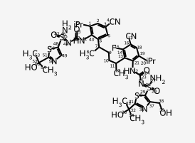 CC(C)c1cc(C#N)cc(C(C)CCC(C)c2c(F)c(C#N)cc(C(C)C)c2NC(=O)N=S(N)(=O)c2sc(C(C)(C)O)nc2CO)c1NC(=O)N=S(N)(=O)c1cnc(C(C)(C)O)s1